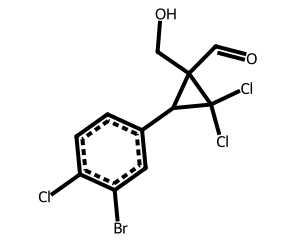 O=CC1(CO)C(c2ccc(Cl)c(Br)c2)C1(Cl)Cl